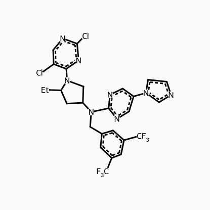 CCC1CC(N(Cc2cc(C(F)(F)F)cc(C(F)(F)F)c2)c2ncc(-n3ccnc3)cn2)CN1c1nc(Cl)ncc1Cl